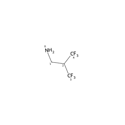 NCC(C(F)(F)F)C(F)(F)F